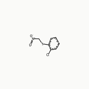 O=[N+]([O-])CSc1ccccc1Cl